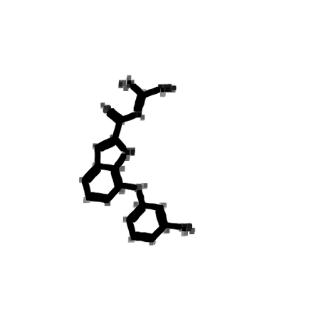 CNC(N)=NC(=O)c1cc2cccc(Oc3cccc([N+](=O)[O-])c3)c2[nH]1